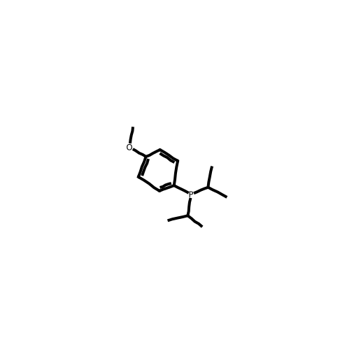 COc1ccc(P(C(C)C)C(C)C)cc1